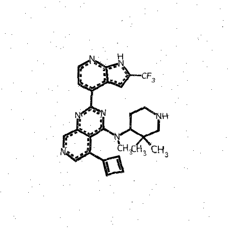 CN(c1nc(-c2ccnc3[nH]c(C(F)(F)F)cc23)nc2cncc(C3=CC=C3)c12)C1CCNCC1(C)C